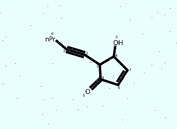 CCCC#CC1C(=O)C=CC1O